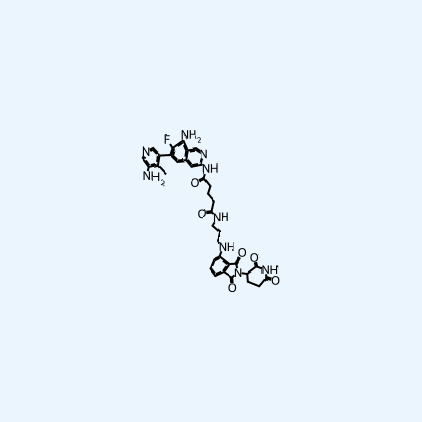 Cc1c(N)cncc1-c1cc2cc(NC(=O)CCCC(=O)NCCCNc3cccc4c3C(=O)N(C3CCC(=O)NC3=O)C4=O)ncc2c(N)c1F